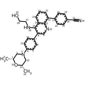 C[C@@H]1CN(c2ccc(-c3cnc4c(-c5ccc(C#N)cc5)cccc4c3NCCO)cc2)C[C@H](C)O1